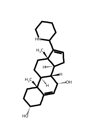 C[C@]12CC[C@@H](O)CC1=C[C@@H](O)[C@@H]1[C@@H]2CC[C@]2(C)C(C3CCCCN3)=CC[C@@H]12